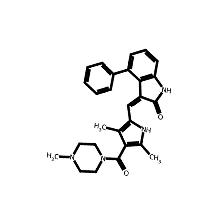 Cc1[nH]c(/C=C2\C(=O)Nc3cccc(-c4ccccc4)c32)c(C)c1C(=O)N1CCN(C)CC1